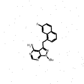 CC(C)(C)n1nc(Cc2cccc3ccc(F)cc23)c2c(N)ncnc21